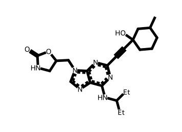 CCC(CC)Nc1nc(C#CC2(O)CCCC(C)C2)nc2c1ncn2CC1CNC(=O)O1